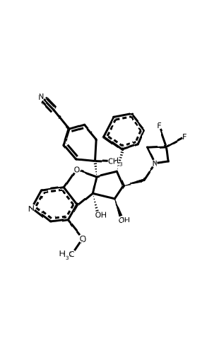 COc1cncc2c1[C@]1(O)[C@H](O)[C@H](CN3CC(F)(F)C3)[C@@H](c3ccccc3)[C@]1(C1(C)C=CC(C#N)=CC1)O2